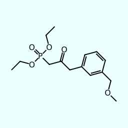 CCOP(=O)(CC(=O)Cc1cccc(COC)c1)OCC